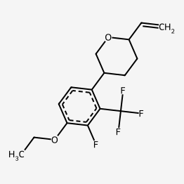 C=CC1CCC(c2ccc(OCC)c(F)c2C(F)(F)F)CO1